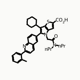 CCCN(CCC)C(=O)Cn1c(-c2ccc3nc(-c4ccccc4C)ccc3c2)c(C2CCCCC2)c2sc(C(=O)O)cc21